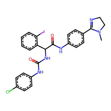 CN1CCN=C1c1ccc(NC(=O)C(NC(=O)Nc2ccc(Cl)cc2)c2ccccc2I)cc1